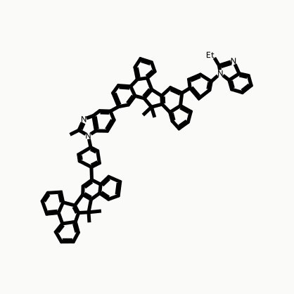 CCc1nc2ccccc2n1-c1ccc(-c2cc3c(c4ccccc24)C(C)(C)c2c-3c3ccccc3c3ccc(-c4ccc5c(c4)nc(C)n5-c4ccc(-c5cc6c(c7ccccc57)C(C)(C)c5c-6c6ccccc6c6ccccc56)cc4)cc23)cc1